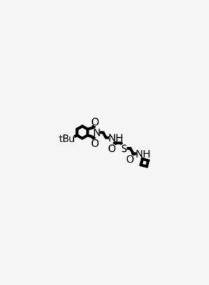 CC(C)(C)C1CCC2C(=O)N(CCNC(=O)CSCC(=O)NC3CCC3)C(=O)C2C1